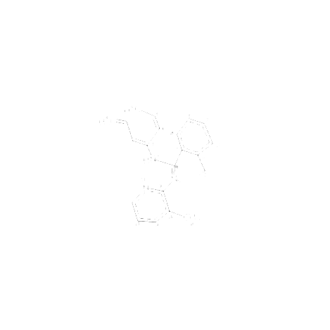 C=C/C=C(\C=C/C)N/C(=N\c1ncccc1C)c1ccccc1F